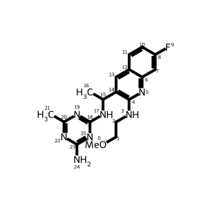 COCCNc1nc2cc(F)ccc2cc1C(C)Nc1nc(C)nc(N)n1